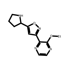 CCOc1nccnc1-c1cc(C2CCCN2)on1